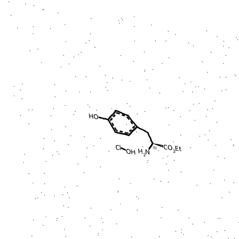 CCOC(=O)[C@@H](N)Cc1ccc(O)cc1.OCl